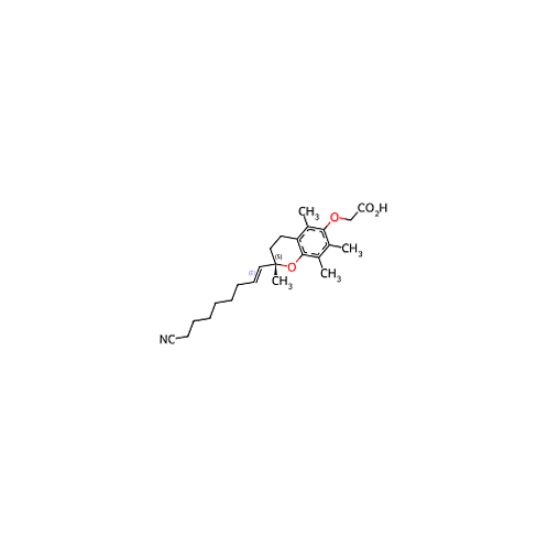 Cc1c(C)c2c(c(C)c1OCC(=O)O)CC[C@@](C)(/C=C/CCCCCCC#N)O2